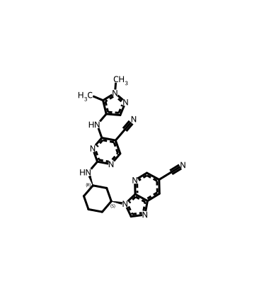 Cc1c(Nc2nc(N[C@@H]3CCC[C@H](n4cnc5cc(C#N)cnc54)C3)ncc2C#N)cnn1C